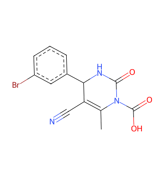 CC1=C(C#N)C(c2cccc(Br)c2)NC(=O)N1C(=O)O